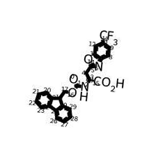 O=C(N[C@@H](Cc1nc2ccc(C(F)(F)F)cc2o1)C(=O)O)OCC1c2ccccc2-c2ccccc21